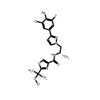 CCOC(C)(C)c1nc(C(=O)N[C@@H](C)Cn2ccc(-c3cc(F)c(C#N)c(Cl)c3)n2)co1